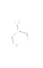 CN(CO)CS